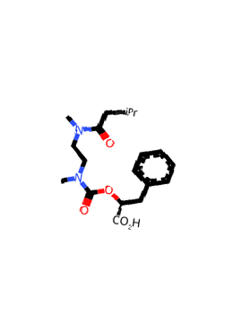 CC(C)CC(=O)N(C)CCN(C)C(=O)O[C@@H](Cc1ccccc1)C(=O)O